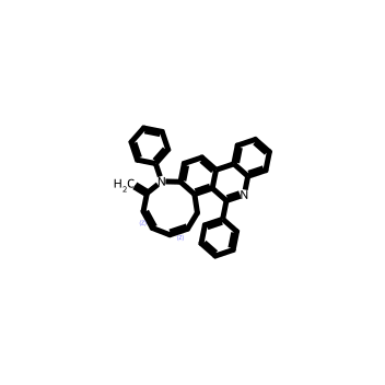 C=C1/C=C\C=C/Cc2c(ccc3c2c(-c2ccccc2)nc2ccccc23)N1c1ccccc1